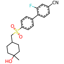 CC1(O)CCC(CS(=O)(=O)c2ccc(-c3ccc(C#N)cc3F)cc2)CC1